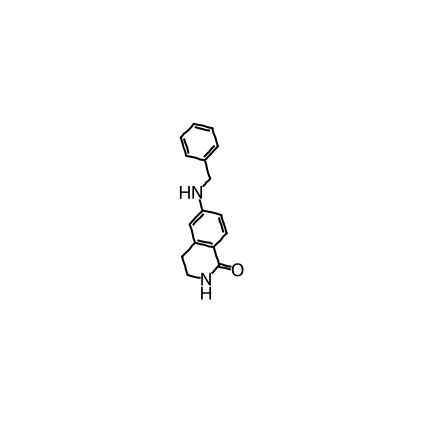 O=C1NCCc2cc(NCc3ccccc3)ccc21